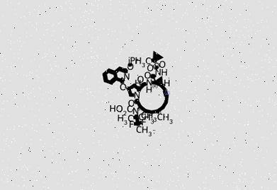 CC(C)Oc1cc2ccccc2c(O[C@@H]2C[C@H]3C(=O)N[C@]4(C(=O)NS(=O)(=O)C5(C)CC5)C[C@H]4/C=C\CC[C@@H](C)C[C@@H](C)[C@H](N(C(=O)O)C(C)(C)C(C)(F)F)C(=O)N3C2)n1